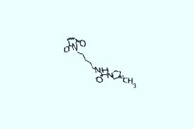 C[C@@H]1CCN(C(=O)NCCCCCN2C(=O)C=CC2=O)C1